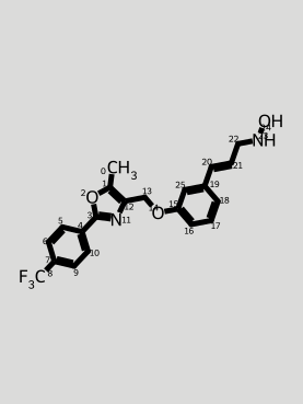 Cc1oc(-c2ccc(C(F)(F)F)cc2)nc1COc1cccc(/C=C/CNO)c1